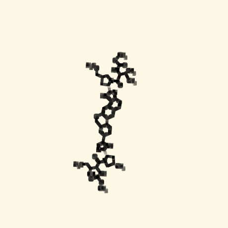 CCC(C)C(NC(=O)OC)C(=O)N1C[C@@H](C)C[C@H]1c1ncc(-c2ccc3c(c2)COc2cc4c(ccc5nc([C@@H]6CC(COC)CN6C(=O)C(NC(=O)OC)C(C)C)[nH]c54)cc2-3)[nH]1